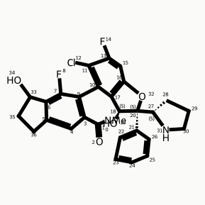 CNC(=O)c1cc2c(c(F)c1-c1c(Cl)c(F)cc3c1[C@H](O)[C@](c1ccccc1)([C@@H]1CCCN1)O3)C(O)CC2